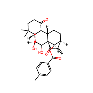 C=C1C(=O)[C@]23[C@H](OC(=O)c4ccc(C)cc4)[C@H]1CC[C@H]2[C@@]12COC3(O)[C@@H](O)[C@@H]1C(C)(C)CCC2=O